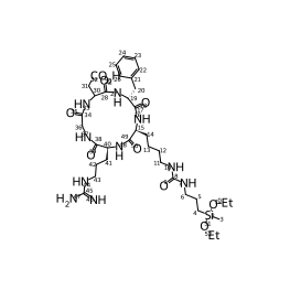 CCO[Si](C)(CCCNC(=O)NCCCC[C@@H]1NC(=O)[C@@H](Cc2ccccc2)NC(=O)C(CC(=O)O)NC(=O)CNC(=O)[C@H](CCCNC(=N)N)NC1=O)OCC